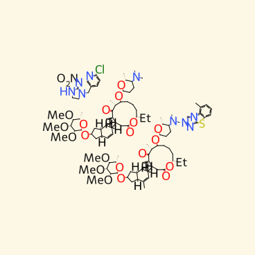 CC[C@H]1CCC[C@H](O[C@H]2CC[C@H](N(C)C)[C@@H](C)O2)[C@@H](C)C(=O)C2=C[C@@H]3[C@@H](C=C(C)[C@@H]4C[C@@H](O[C@@H]5O[C@@H](C)[C@H](OC)[C@@H](OC)[C@H]5OC)C[C@@H]34)[C@@H]2CC(=O)O1.CC[C@H]1CCC[C@H](O[C@H]2CC[C@H](N(C)C)[C@@H](C)O2)[C@@H](C)C(=O)C2=C[C@@H]3[C@@H](C=C[C@@H]4C[C@@H](O[C@@H]5O[C@@H](C)[C@H](OC)[C@@H](OC)[C@H]5OC)C[C@@H]34)[C@@H]2CC(=O)O1.Cc1cccc2sc3nncn3c12.O=[N+]([O-])/N=C1\NCCN1Cc1ccc(Cl)nc1